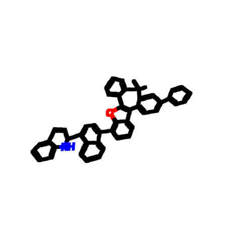 CC1(C)c2ccccc2-c2oc3c(-c4ccc(C5C=Cc6ccccc6N5)c5ccccc45)cccc3c2-c2ccc(-c3ccccc3)cc21